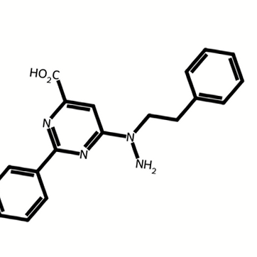 NN(CCc1ccccc1)c1cc(C(=O)O)nc(-c2ccccc2)n1